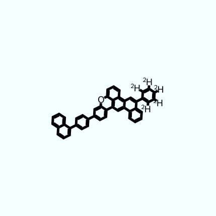 [2H]c1c([2H])c([2H])c(-c2cc3c4cccc5c4c(cc3c3ccccc23)-c2ccc(-c3ccc(-c4cccc6ccccc46)cc3)cc2O5)c([2H])c1[2H]